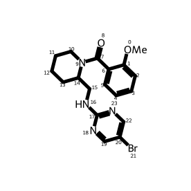 COc1ccccc1C(=O)N1CCCCC1CNc1ncc(Br)cn1